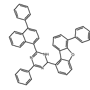 c1ccc(C2=NC(c3cccc4oc5c(-c6ccccc6)cccc5c34)NC(c3ccc(-c4ccccc4)c4ccccc34)=N2)cc1